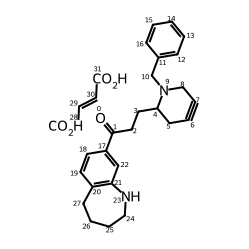 O=C(CCC1CC#CCN1Cc1ccccc1)c1ccc2c(c1)NCCCC2.O=C(O)/C=C/C(=O)O